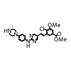 COC(=O)c1cc(C=Cc2cnc(Nc3ccc(N4C[C@@H](C)N[C@@H](C)C4)cc3)nc2)c(Cl)c(OC)c1